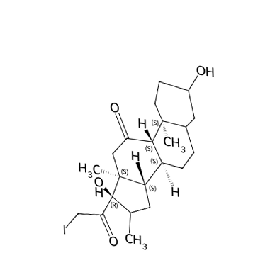 CC1C[C@H]2[C@@H]3CCC4CC(O)CC[C@]4(C)[C@H]3C(=O)C[C@]2(C)[C@@]1(O)C(=O)CI